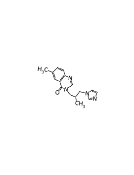 Cc1ccc2ncn(CC(C)Cn3ccnc3)c(=O)c2c1